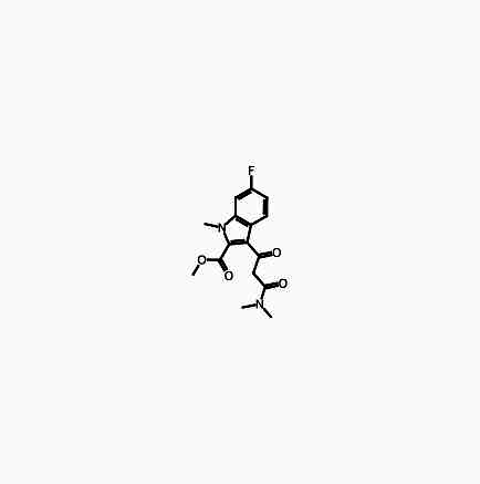 COC(=O)c1c(C(=O)CC(=O)N(C)C)c2ccc(F)cc2n1C